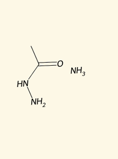 CC(=O)NN.N